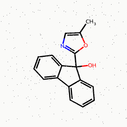 Cc1cnc(C2(O)c3ccccc3-c3ccccc32)o1